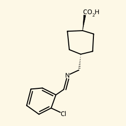 O=C(O)[C@H]1CC[C@H](CN=Cc2ccccc2Cl)CC1